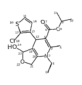 CCN1C(C)=C(C(=O)OC(C)C)C(c2ccsc2Cl)C2=C1COC2O